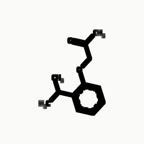 CC(=O)COc1ccccc1C(C)C